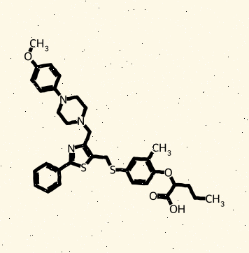 CCCC(Oc1ccc(SCc2sc(-c3ccccc3)nc2CN2CCN(c3ccc(OC)cc3)CC2)cc1C)C(=O)O